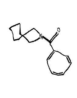 O=C(c1ccccc1)N1CC2(CCC2)C1